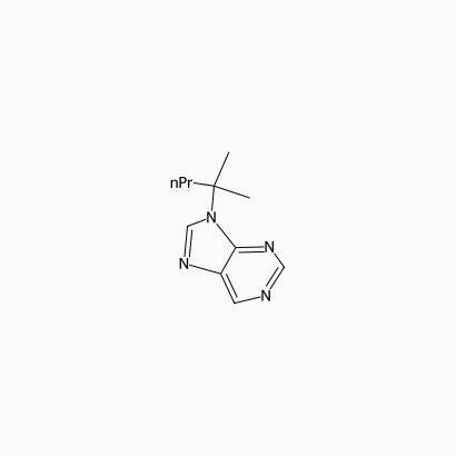 CCCC(C)(C)n1cnc2cncnc21